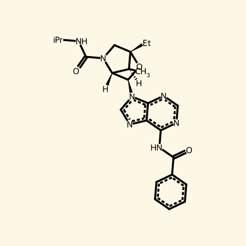 CC[C@@]12CN(C(=O)NC(C)C)[C@@H]([C@H](n3cnc4c(NC(=O)c5ccccc5)ncnc43)O1)[C@@H]2C